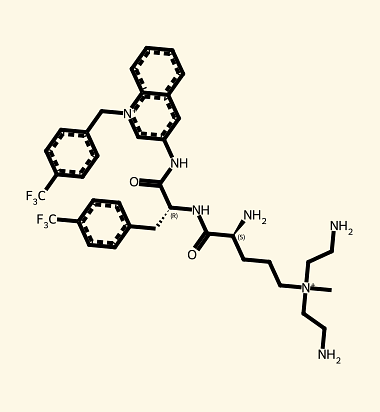 C[N+](CCN)(CCN)CCC[C@H](N)C(=O)N[C@H](Cc1ccc(C(F)(F)F)cc1)C(=O)Nc1cc2ccccc2[n+](Cc2ccc(C(F)(F)F)cc2)c1